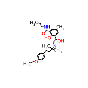 CCCNC(=O)c1cc(C)cc(C(O)CNC(C)(C)CCc2ccc(OCC)cc2)c1O